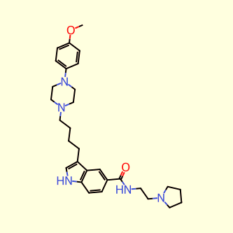 COc1ccc(N2CCN(CCCCc3c[nH]c4ccc(C(=O)NCCN5CCCC5)cc34)CC2)cc1